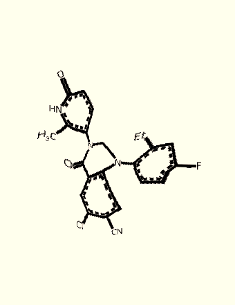 CCc1cc(F)ccc1N1CN(c2ccc(=O)[nH]c2C)C(=O)c2cc(Cl)c(C#N)cc21